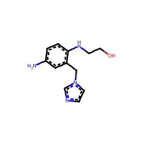 Nc1ccc(NCCO)c(Cn2ccnc2)c1